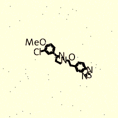 COc1ccc(C2=NN(C(=O)Cc3ccc4nsnc4c3)CC2)cc1Cl